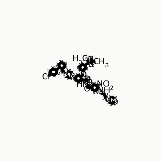 Cc1nc(C)c(-c2cccc(Oc3cc(N4CCN(Cc5ccccc5-c5ccc(Cl)cc5)CC4)ccc3C(=O)NS(=O)(=O)c3ccc(NCCCN4CCOCC4)c([N+](=O)[O-])c3)c2)s1